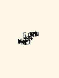 Cl.O=C(ON1CCC(n2ccnn2)C1)c1cn(CCF)c2c(F)c(N3CCC(n4ccnn4)C3)c(F)cc2c1=O